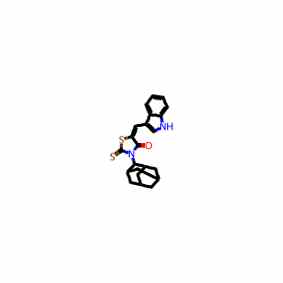 O=C1/C(=C\c2c[nH]c3ccccc23)SC(=S)N1C1C2CC3CC(C2)CC1C3